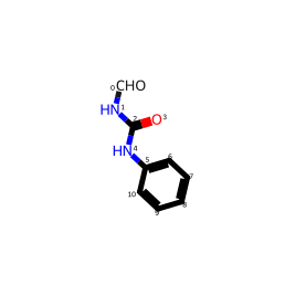 O=CNC(=O)Nc1ccccc1